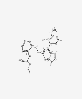 CCOC(=O)Cc1ccccc1OCc1cc(-c2cccc(CN)c2F)c2ccsc2c1